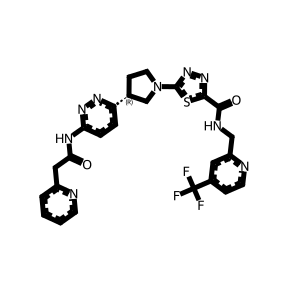 O=C(Cc1ccccn1)Nc1ccc([C@@H]2CCN(c3nnc(C(=O)NCc4cc(C(F)(F)F)ccn4)s3)C2)nn1